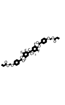 C=CC(=O)OCOc1ccc(C(=O)Oc2c(F)cc(C(c3cc(F)c(OC(=O)c4ccc(OCOC(=O)C=C)cc4)c(F)c3)(C(F)(F)F)C(F)(F)F)cc2F)cc1